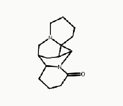 O=C1CCCC2C3CC4C(N12)C41CCCCN1C3